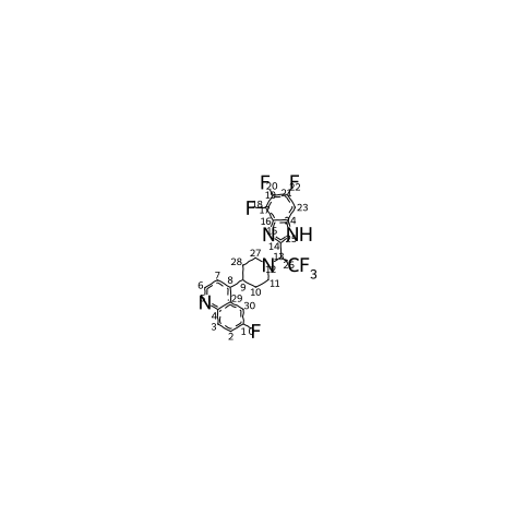 Fc1ccc2nccc(C3CCN([C@@H](c4nc5c(F)c(F)c(F)cc5[nH]4)C(F)(F)F)CC3)c2c1